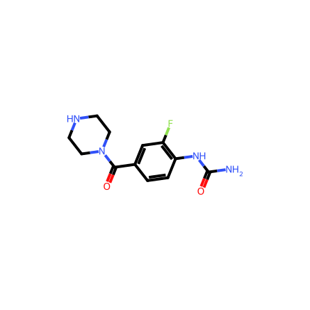 NC(=O)Nc1ccc(C(=O)N2CCNCC2)cc1F